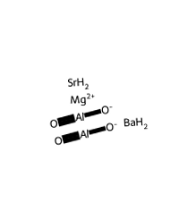 [BaH2].[Mg+2].[O]=[Al][O-].[O]=[Al][O-].[SrH2]